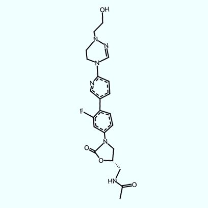 CC(=O)NC[C@H]1CN(c2ccc(-c3ccc(N4C=NN(CCO)CC4)nc3)c(F)c2)C(=O)O1